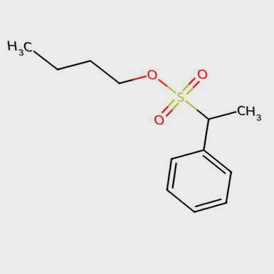 CCCCOS(=O)(=O)C(C)c1ccccc1